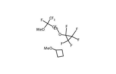 CCOC1(F)C(F)(F)C1(F)F.COC(F)(C(F)(F)F)C(F)(F)F.COC1CCC1